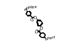 CCCCCCOc1ccc(C(=O)Oc2ccc(OC(=O)C3CCC(CCCCC)CC3)cc2)cc1